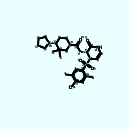 Cc1cc(S(=O)(=O)N2C=CNC(=O)[C@H]2CC(=O)N2CC[C@@H](N3CCCC3)C(C)(C)C2)c(C)cc1Cl